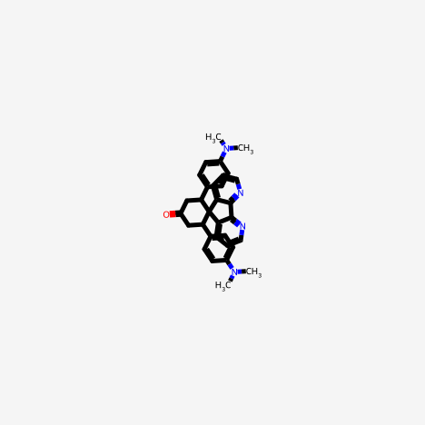 CN(C)c1ccc(C2CC(=O)CC(c3ccc(N(C)C)cc3)C23c2cccnc2-c2ncccc23)cc1